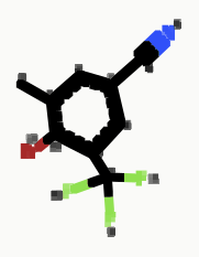 Cc1cc(C#N)cc(C(F)(F)F)c1Br